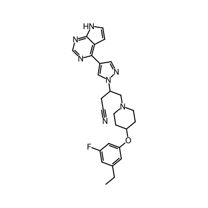 CCc1cc(F)cc(OC2CCN(CC(CC#N)n3cc(-c4ncnc5[nH]ccc45)cn3)CC2)c1